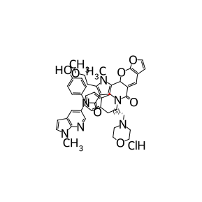 COCCc1c(C(=O)N(c2ccc(O)cc2)c2cnc3c(ccn3C)c2)cc(C2Oc3occc3C=C2C(=O)N2Cc3ccccc3C[C@H]2CN2CCOCC2)n1C.Cl